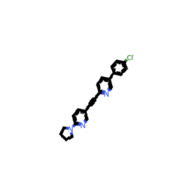 Clc1ccc(-c2ccc(C#Cc3ccc(N4C[CH]CC4)nc3)nc2)cc1